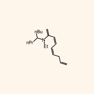 C=CC/C=C\C=C/C(=C)N(CC)C(CCC)CCCC